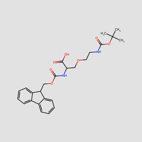 CC(C)(C)OC(=O)NCCOCC(NC(=O)OCC1c2ccccc2-c2ccccc21)C(=O)O